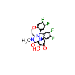 CN1C(=O)c2c(O)c(=O)ccn2N2C(c3ccc(F)c(F)c3)c3cc(F)c(F)cc3OCCC12